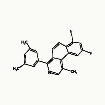 Cc1cc(C)cc(-c2ncc(C)c3c2ccc2c(F)cc(F)cc23)c1